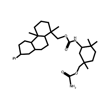 CC(C)C1CCC2C(CCC3C(C)(COC(=O)NC4CC(C)(COC(N)=O)CCC4(C)C)CCCC23C)C1